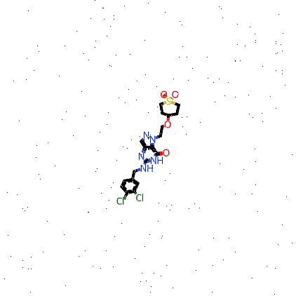 O=c1[nH]c(NCc2ccc(Cl)c(Cl)c2)nc2cnn(CCOC3CCS(=O)(=O)CC3)c12